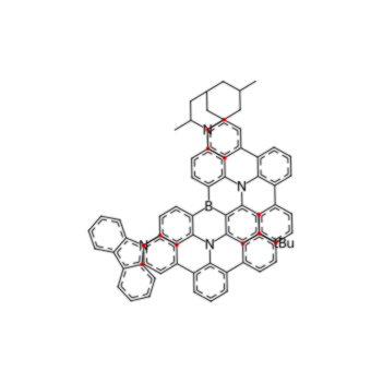 CC1CC2CC(C)N(c3ccc4c(c3)N(c3c(-c5ccccc5)cccc3-c3ccccc3)c3cc(C(C)(C)C)cc5c3B4c3ccc(-n4c6ccccc6c6ccccc64)cc3N5c3c(-c4ccccc4)cccc3-c3ccccc3)C(C1)C2